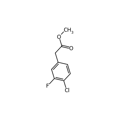 COC(=O)Cc1ccc(Cl)c(F)c1